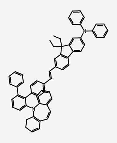 CCC1(CC)c2cc(/C=C/c3ccc(-c4c(-c5ccccc5)cccc4N4C5=C(C=CCC5)C=Cc5ccccc54)cc3)ccc2-c2ccc(N(c3ccccc3)c3ccccc3)cc21